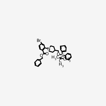 CC(C)(C)[Si](OCC1CCN(c2cc(Br)ccc2C(=O)OCc2ccccc2)CC1)(c1ccccc1)c1ccccc1